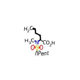 C=CCC[C@@H](C(=O)O)N(C)S(=O)(=O)CCCCC